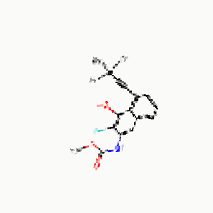 CC(C)[Si](C#Cc1cccc2cc(NC(=O)OC(C)(C)C)c(F)c(O)c12)(C(C)C)C(C)C